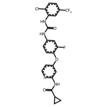 O=C(Nc1ccc(Oc2ccnc(NC(=O)C3CC3)c2)c(F)c1)Nc1cc(C(F)(F)F)ccc1Cl